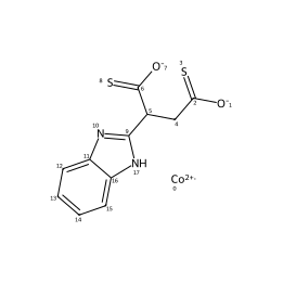 [Co+2].[O-]C(=S)CC(C([O-])=S)c1nc2ccccc2[nH]1